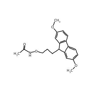 COc1ccc2c(c1)C(CCCONC(C)=O)c1cc(OC)ccc1-2